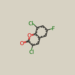 O=c1oc2c(Cl)cc(F)cc2cc1Cl